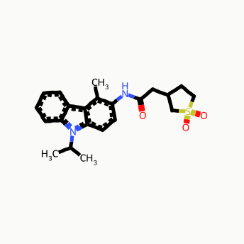 Cc1c(NC(=O)CC2CCS(=O)(=O)C2)ccc2c1c1ccccc1n2C(C)C